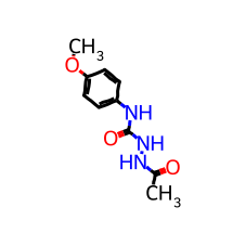 COc1ccc(NC(=O)NNC(C)=O)cc1